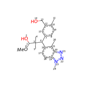 COC(O)C(C)(C)C(c1ccc(C)c(CO)c1)c1ccc2c(nnn2C)c1C